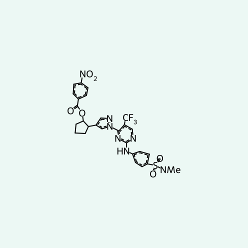 CNS(=O)(=O)c1ccc(Nc2ncc(C(F)(F)F)c(-n3cc(C4CCCC4OC(=O)c4ccc([N+](=O)[O-])cc4)cn3)n2)cc1